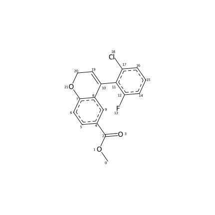 COC(=O)c1ccc2c(c1)C(c1c(F)cccc1Cl)=CCO2